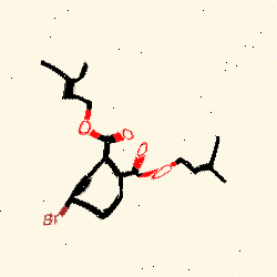 CC(C)CCOC(=O)c1ccc(Br)cc1C(=O)OCCC(C)C